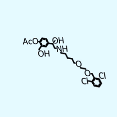 CC(=O)Oc1ccc([C@@H](O)CNCCCCCOCCOCc2c(Cl)cccc2Cl)cc1CO